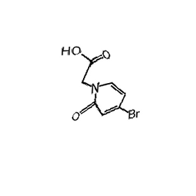 O=C(O)Cn1ccc(Br)cc1=O